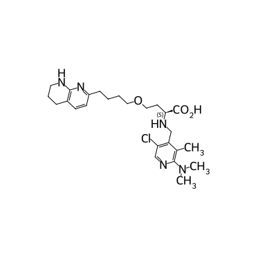 Cc1c(N(C)C)ncc(Cl)c1CN[C@@H](CCOCCCCc1ccc2c(n1)NCCC2)C(=O)O